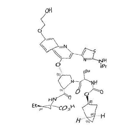 CC[C@@H]1CC1(NC(=O)[C@@H]1C[C@H](Oc2cc(-c3csc(NC(C)C)n3)nc3cc(OCCO)ccc23)CN1C(=O)C(NC(=O)O[C@@H]1C[C@@H]2C[C@@H]2C1)C(C)(C)C)C(=O)O